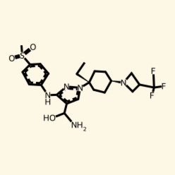 CC[C@]1(n2cc(C(N)O)c(Nc3ccc(S(C)(=O)=O)cc3)n2)CC[C@H](N2CC(C(F)(F)F)C2)CC1